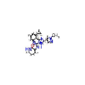 Cn1cc(-c2nc3c4c(C5CC5)cccc4nc(N[C@@H]4CCCCNC4=O)n3n2)cn1